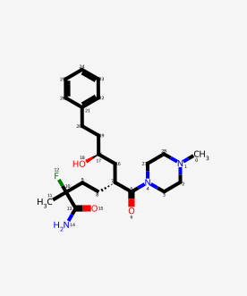 CN1CCN(C(=O)[C@H](CCC(C)(F)C(N)=O)C[C@@H](O)[CH]Cc2ccccc2)CC1